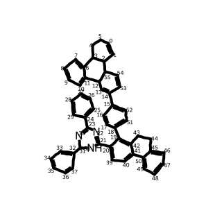 C1=CC2C(CC1)c1ccccc1C1C=C(c3ccc(-c4c(C5=NC(c6ccccc6)=NC(c6ccccc6)N5)ccc5c4CCc4ccccc4-5)cc3)C=CC12